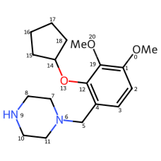 COc1ccc(CN2CCNCC2)c(OC2CCCC2)c1OC